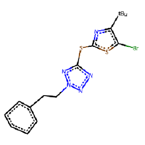 CC(C)(C)c1nc(Sc2nnn(CCc3ccccc3)n2)sc1Br